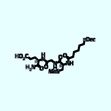 CCCCCCCCCCCCCCCC(=O)N[C@@H](CSC)C(=O)NCC(=O)N[C@H](CCC(=O)O)C(N)=O